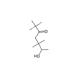 CC(O)C(C)(C)CC(=O)C(C)(C)C